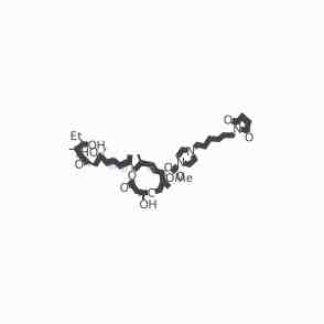 CC[C@H](O)[C@@H](C)[C@H]1O[C@@H]1C[C@@](C)(O)/C=C/C=C(\C)[C@H]1OC(=O)C[C@H](O)CC[C@@](C)(OC)[C@@H](OC(=O)N2CCN(CCCCCCN3C(=O)C=CC3=O)CC2)/C=C/[C@@H]1C